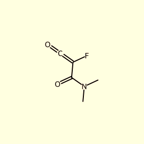 CN(C)C(=O)C(F)=C=O